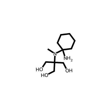 CN(C1(N)CCCCC1)C(CO)(CO)CO